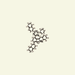 c1ccc(-c2nc(-c3ccc4ccccc4c3)nc(-c3ccc(-c4ccc5ccccc5c4)c4oc5nc6ccccc6cc5c34)n2)cc1